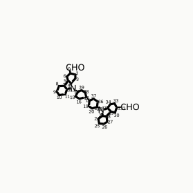 O=Cc1ccc2c(c1)c1ccccc1n2-c1ccc(-c2ccc(-n3c4ccccc4c4cc(C=O)ccc43)cc2)cc1